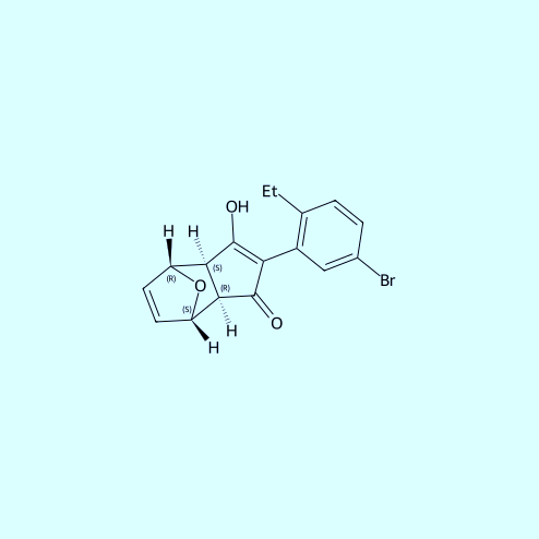 CCc1ccc(Br)cc1C1=C(O)[C@H]2[C@@H](C1=O)[C@@H]1C=C[C@H]2O1